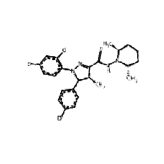 CC1C(C(=O)NN2[C@@H](C)CCC[C@@H]2C)=NN(c2ccc(Cl)cc2Cl)C1c1ccc(Cl)cc1